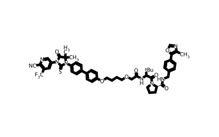 Cc1ncoc1-c1ccc(CNC(=O)[C@@H]2CCCN2C(=O)C(NC(=O)COCCCCOc2ccc(-c3ccc(N4C(=S)N(c5cnc(C#N)c(C(F)(F)F)c5)C(=O)C4(C)C)cc3)cc2)C(C)(C)C)cc1